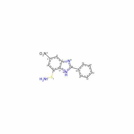 NSc1cc([N+](=O)[O-])cc2nc(-c3ccccc3)[nH]c12